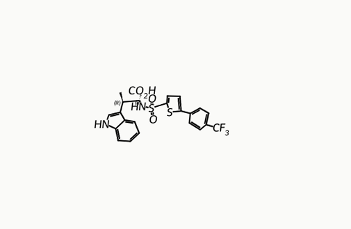 C[C@H](c1c[nH]c2ccccc12)[C@@H](NS(=O)(=O)c1ccc(-c2ccc(C(F)(F)F)cc2)s1)C(=O)O